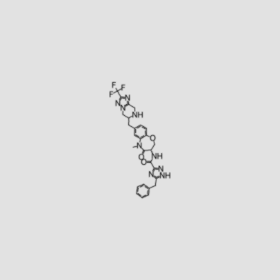 CN1C(=O)[C@H](NC(=O)c2n[nH]c(Cc3ccccc3)n2)COc2ccc(CC3Cn4nc(C(F)(F)F)nc4CN3)cc21